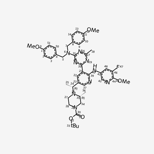 COc1ccc(CN(Cc2ccc(OC)cc2)c2nc(C)nc(-c3cc([C@@H](C)N4CCN(C(=O)OC(C)(C)C)C[C@H]4C)cnc3Nc3cnc(OC)c(F)c3)n2)cc1